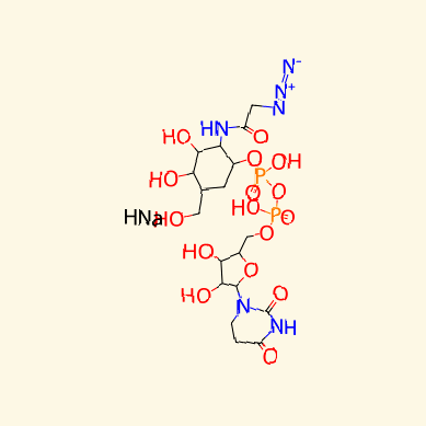 [N-]=[N+]=NCC(=O)NC1C(OP(=O)(O)OP(=O)(O)OCC2OC(N3CCC(=O)NC3=O)C(O)C2O)CC(CO)C(O)C1O.[NaH]